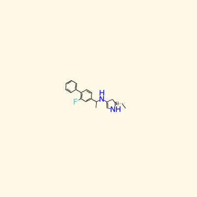 CC[C@H]1CC(NC(C)c2ccc(-c3ccccc3)c(F)c2)=CN1